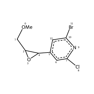 COCC1OC1c1cc(Cl)nc(Br)c1